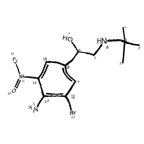 CC(C)(C)NCC(O)c1cc(Br)c(N)c([N+](=O)[O-])c1